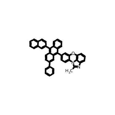 Cc1nc2cccc3c2n1-c1ccc(-c2c4ccccc4c(-c4ccc5ccccc5c4)c4ccc(-c5ccccc5)cc24)cc1O3